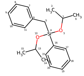 CC(C)O[Si](Cc1ccccc1)(OC(C)C)c1ccccc1